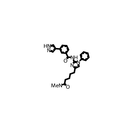 CNC(=O)CCCCc1cn(-c2ccccc2)c(NC(=O)c2cccc(-c3cn[nH]c3)c2)n1